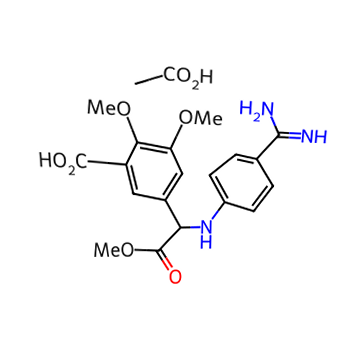 CC(=O)O.COC(=O)C(Nc1ccc(C(=N)N)cc1)c1cc(OC)c(OC)c(C(=O)O)c1